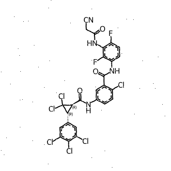 N#CCC(=O)Nc1c(F)ccc(NC(=O)c2cc(NC(=O)[C@H]3[C@H](c4cc(Cl)c(Cl)c(Cl)c4)C3(Cl)Cl)ccc2Cl)c1F